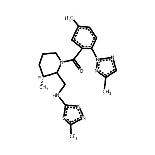 Cc1ccc(-n2ncc(C)n2)c(C(=O)N2CCC[C@@H](C)C2CNc2nnc(C(F)(F)F)s2)c1